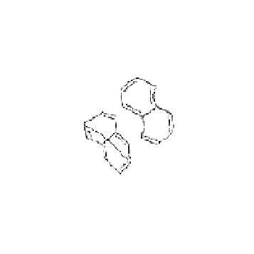 c1cc2cc3ccc2cc13.c1ccc2ccccc2c1